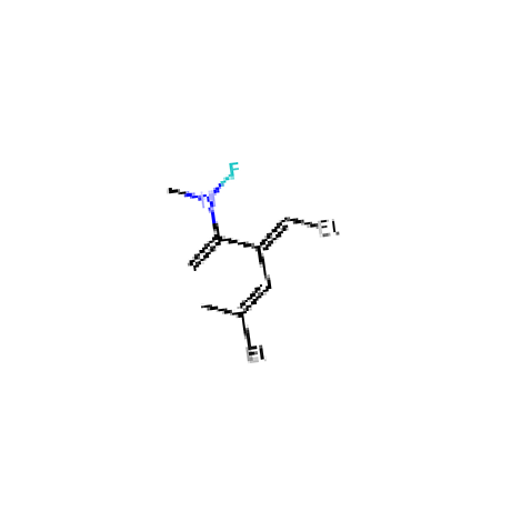 C=C(C(/C=C(\C)CC)=C/CC)N(C)F